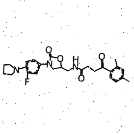 Cc1ccc(C(=O)CCC(=O)NCC2CN(c3ccc(N4CCCC4)c(F)c3)C(=O)O2)c(C)c1